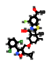 CC1CC(OCc2c(-c3c(Cl)cccc3Cl)noc2C2CC2)CC(CO)C1(N=O)c1nc2c(F)cc(C(=O)N=O)cc2s1